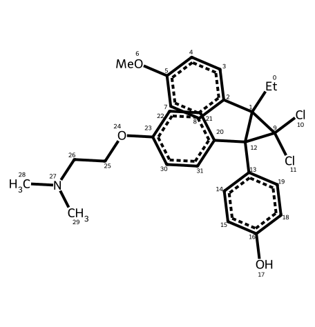 CCC1(c2ccc(OC)cc2)C(Cl)(Cl)C1(c1ccc(O)cc1)c1ccc(OCCN(C)C)cc1